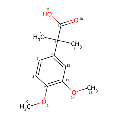 COc1ccc(C(C)(C)C(=O)O)cc1OC